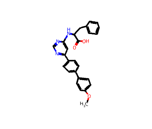 COc1ccc(-c2ccc(-c3cc(NC(Cc4ccccc4)C(=O)O)ncn3)cc2)cc1